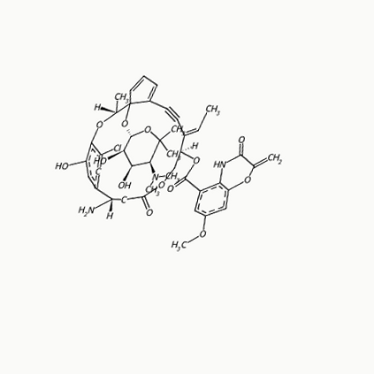 C=C1Oc2cc(OC)cc(C(=O)O[C@H]3COC(=O)C[C@H](N)c4cc(O)c(c(Cl)c4)O[C@H](C)C4(O[C@@H]5OC(C)(C)[C@@H](N(C)C)[C@@H](O)[C@H]5O)C=CC=C4C#C/C3=C\C)c2NC1=O